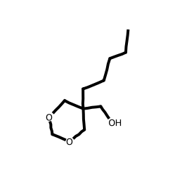 CCCCCC1(CO)COCOC1